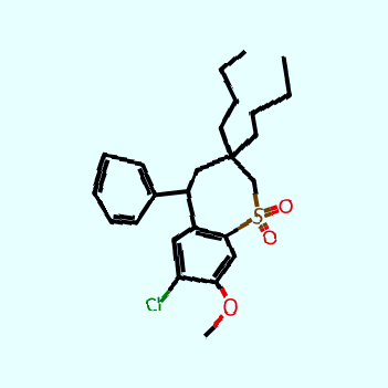 CCCCC1(CCCC)CC(c2ccccc2)c2cc(Cl)c(OC)cc2S(=O)(=O)C1